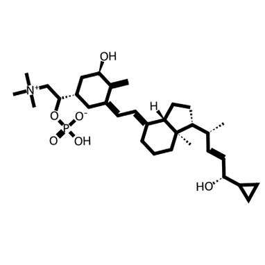 C=C1/C(=C\C=C2/CCC[C@]3(C)[C@@H]([C@H](C)/C=C/[C@@H](O)C4CC4)CC[C@@H]23)C[C@H](C(C[N+](C)(C)C)OP(=O)([O-])O)C[C@H]1O